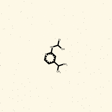 CCC(O)Nc1cc(C(C)N)ccn1